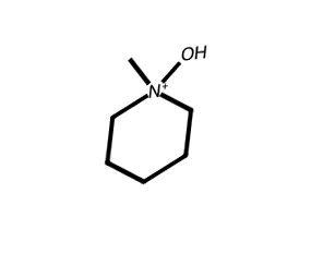 C[N+]1(O)CCCCC1